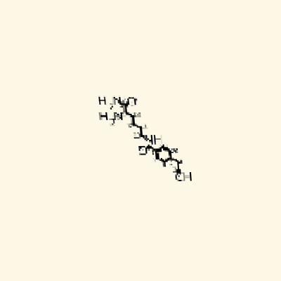 C#CCc1ccc(C(=O)NCCCC[C@H](N)C(N)=O)cc1